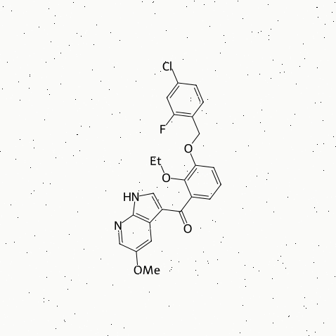 CCOc1c(OCc2ccc(Cl)cc2F)cccc1C(=O)c1c[nH]c2ncc(OC)cc12